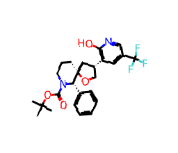 CC(C)(C)OC(=O)N1CCC[C@@]2(C[C@H](c3cc(C(F)(F)F)cnc3O)CO2)[C@@H]1c1ccccc1